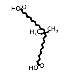 CCC(CC)(CCCCCCCCCCC(=O)O)CCCCCCCCCCC(=O)O